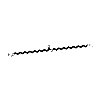 CCCCCCCCCCCCCCCOC(=O)CCCCCCCCCCCCCCC